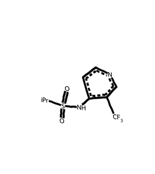 CC(C)S(=O)(=O)Nc1ccncc1C(F)(F)F